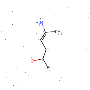 CCC(O)C/C=C(\C)N